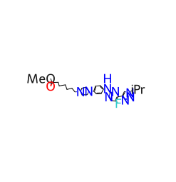 COC(=O)CCCCCCN1CCN(c2ccc(Nc3ncc(F)c(-c4cn(C(C)C)nn4)n3)cc2)CC1